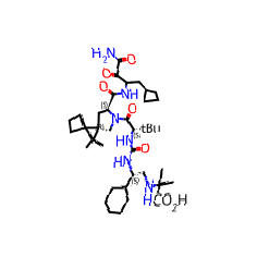 CC(C)(NC[C@@H](NC(=O)N[C@H](C(=O)N1C[C@]2(C[C@H]1C(=O)NC(CC1CCC1)C(=O)C(N)=O)C(C)(C)C21CCC1)C(C)(C)C)C1CCCCC1)C(=O)O